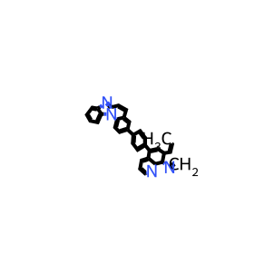 C=NC1c2ncccc2C(c2ccc(-c3ccc4c(ccc5nc6ccccc6n54)c3)cc2)=CC1/C=C\C